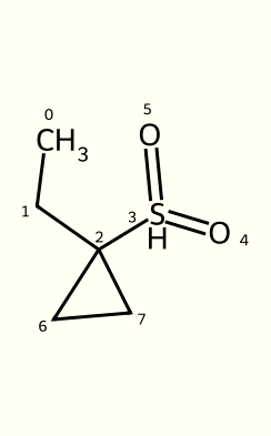 CCC1([SH](=O)=O)CC1